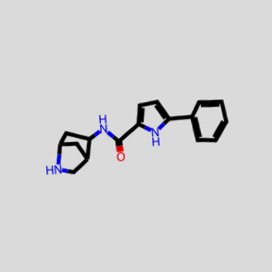 O=C(NC1CC2CC1CN2)c1ccc(-c2ccccc2)[nH]1